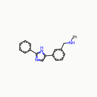 CC(C)NCc1cccc(-c2cnc(-c3ccccc3)[nH]2)c1